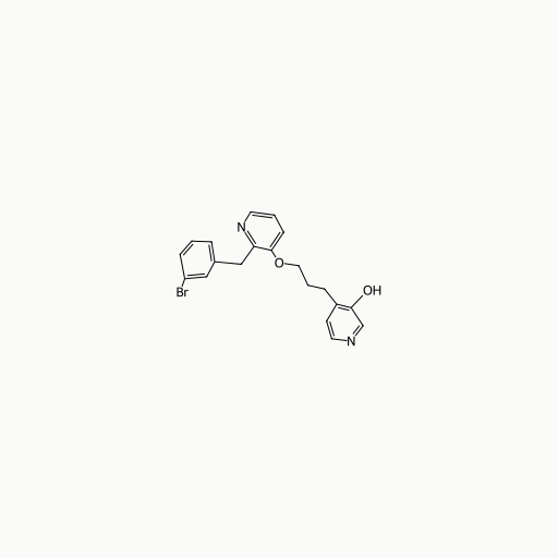 Oc1cnccc1CCCOc1cccnc1Cc1cccc(Br)c1